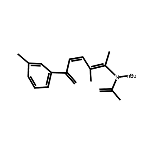 C=C(/C=C\C(C)=C(/C)N(CCCC)C(=C)C)c1cccc(C)c1